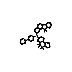 CC1(C)c2ccccc2-c2ccc3ccc(N(c4ccc(-c5ccccc5)cc4)c4ccc5c(c4)C(C)(C)C(C)(C)c4ccccc4-5)cc3c21